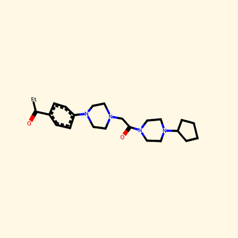 CCC(=O)c1ccc(N2CCN(CC(=O)N3CCN(C4CCCC4)CC3)CC2)cc1